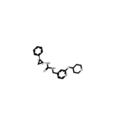 O=C(NCc1ccnc(OC2CCOCC2)c1)N[C@@H]1C[C@H]1c1ccccc1